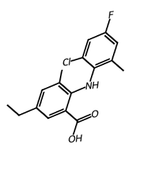 CCc1cc(C)c(Nc2c(C)cc(F)cc2Cl)c(C(=O)O)c1